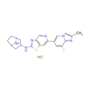 Cc1cn2cc(-c3cc4sc(NC5CC6CCC(C5)N6)nc4cn3)cc(F)c2n1.Cl